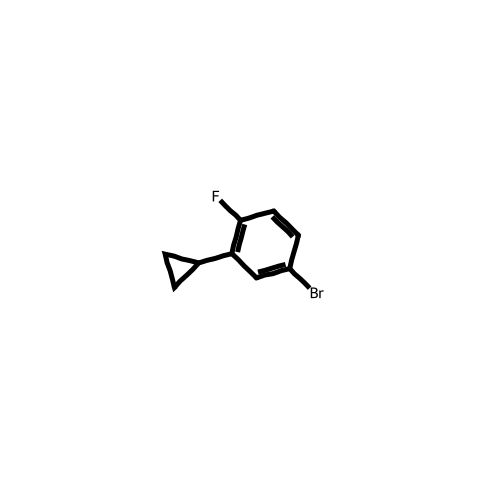 Fc1ccc(Br)cc1C1CC1